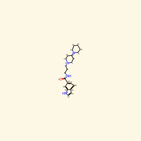 O=C(NCCCN1CCC(N2CCCCC2)CC1)c1ccc2cc[nH]c2c1